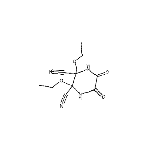 CCOC1(C#N)NC(=O)C(=O)NC1(C#N)OCC